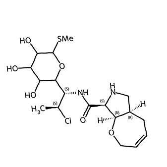 CSC1OC([C@H](NC(=O)[C@H]2NC[C@H]3CC=CCO[C@H]32)[C@H](C)Cl)C(O)C(O)C1O